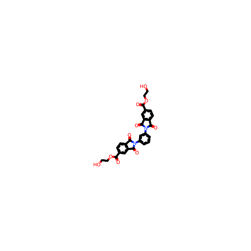 O=C(OCCO)c1ccc2c(c1)C(=O)N(c1cccc(N3C(=O)c4ccc(C(=O)OCCO)cc4C3=O)c1)C2=O